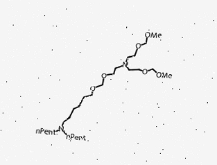 CCCCCN(CCCCC)CCCCCCOCOCCN(CCOCOC)CCOCOC